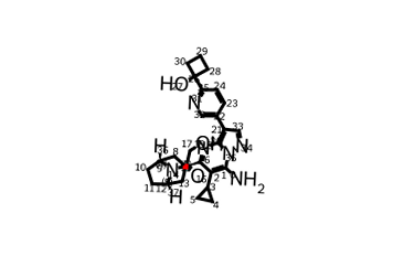 Nc1c(C2CC2)c([C@@H]2C[C@H]3CC[C@@H](C2)N3C(=O)CO)nc2c(-c3ccc(C4(O)CCC4)nc3)cnn12